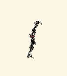 C=CC(=O)OCCCCOC(=O)Oc1ccc(OC(=O)C2=CC[C@H](C(=O)Oc3ccc(OC(=O)OCCCCOC(=O)C=C)cc3Cl)C=C2)c(Cl)c1